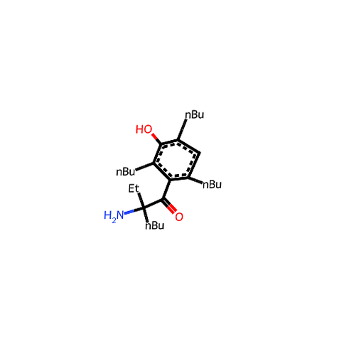 CCCCc1cc(CCCC)c(C(=O)C(N)(CC)CCCC)c(CCCC)c1O